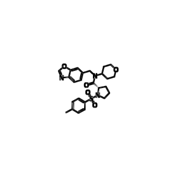 Cc1ccc(S(=O)(=O)N2CCC[C@H]2C(=O)N(Cc2ccc3ncoc3c2)C2CCOCC2)cc1